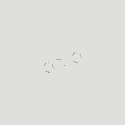 S=CN(Cc1ccccc1)Cc1ccccc1